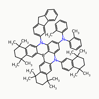 Cc1ccccc1N(c1cc2c3c(c1)N(c1ccc4c(c1)C(C)(C)CCC4(C)C)c1cc4c(cc1B3c1cc3c(cc1N2c1ccc2c(c1)-c1ccccc1C2)C(C)(C)CCC3(C)C)C(C)(C)CCC4(C)C)c1ccccc1C